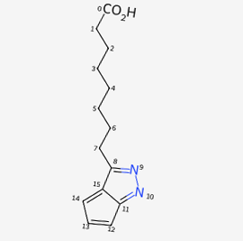 O=C(O)CCCCCCCC1=NN=C2C=CC=C21